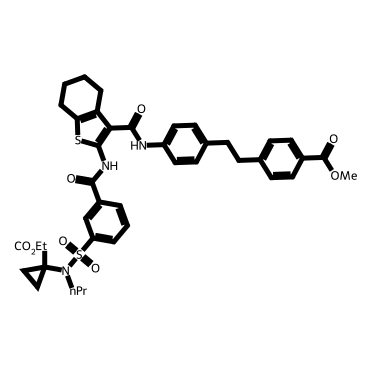 CCCN(C1(C(=O)OCC)CC1)S(=O)(=O)c1cccc(C(=O)Nc2sc3c(c2C(=O)Nc2ccc(CCc4ccc(C(=O)OC)cc4)cc2)CCCC3)c1